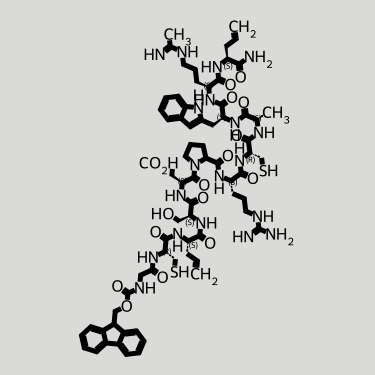 C=CC[C@H](NC(=O)[C@H](CCCNC(C)=N)NC(=O)[C@H](Cc1cc2ccccc2[nH]1)NC(=O)[C@H](C)NC(=O)[C@H](CS)NC(=O)[C@H](CCCNC(=N)N)NC(=O)C1CCCN1C(=O)[C@H](CC(=O)O)NC(=O)[C@H](CO)NC(=O)[C@H](CC=C)NC(=O)[C@H](CS)NC(=O)CNC(=O)OCC1c2ccccc2-c2ccccc21)C(N)=O